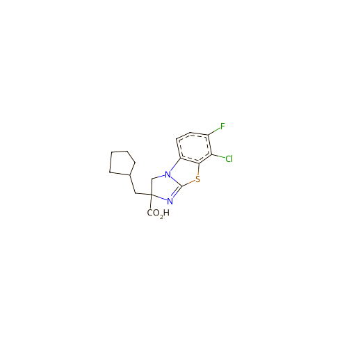 O=C(O)C1(CC2CCCC2)CN2C(=N1)Sc1c2ccc(F)c1Cl